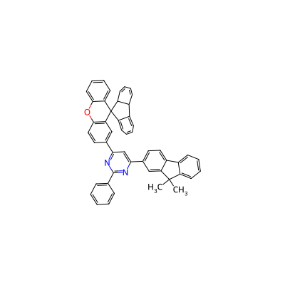 CC1(C)c2ccccc2-c2ccc(-c3cc(-c4ccc5c(c4)C4(c6ccccc6O5)c5ccccc5C5C=CC=CC54)nc(-c4ccccc4)n3)cc21